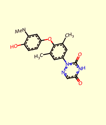 CNc1cc(Oc2c(C)cc(-n3ncc(=O)[nH]c3=O)cc2C)ccc1O